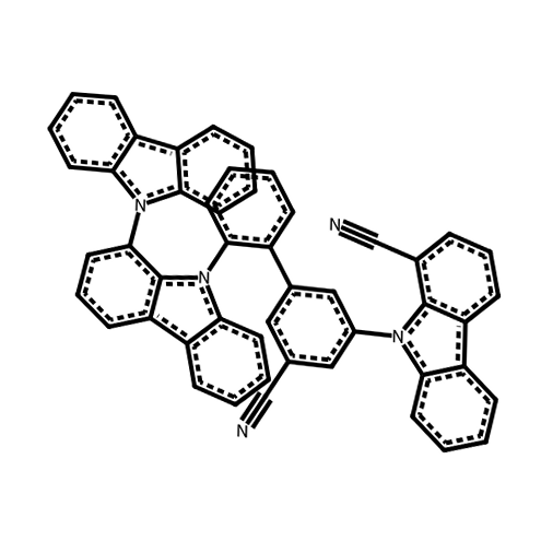 N#Cc1cc(-c2ccccc2-n2c3ccccc3c3cccc(-n4c5ccccc5c5ccccc54)c32)cc(-n2c3ccccc3c3cccc(C#N)c32)c1